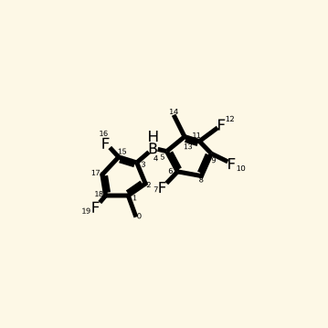 Cc1cc(Bc2c(F)cc(F)c(F)c2C)c(F)cc1F